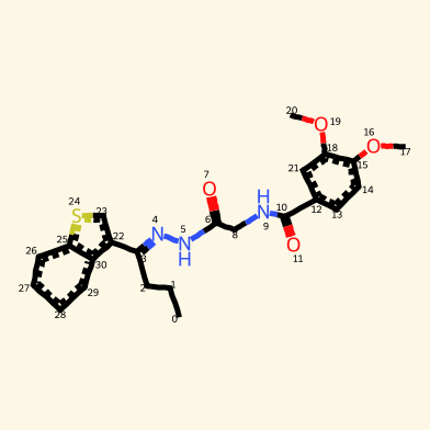 CCC/C(=N\NC(=O)CNC(=O)c1ccc(OC)c(OC)c1)c1csc2ccccc12